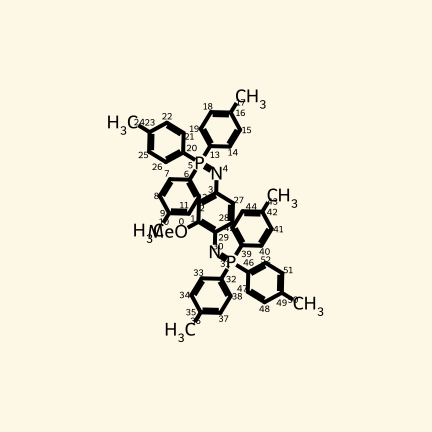 COc1cc(N=P(c2ccc(C)cc2)(c2ccc(C)cc2)c2ccc(C)cc2)ccc1N=P(c1ccc(C)cc1)(c1ccc(C)cc1)c1ccc(C)cc1